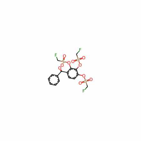 O=C(c1ccccc1)c1ccc(OS(=O)(=O)CF)c(OS(=O)(=O)CF)c1OS(=O)(=O)CF